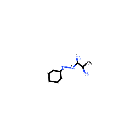 CC(N)C(N)NNC1CCCCC1